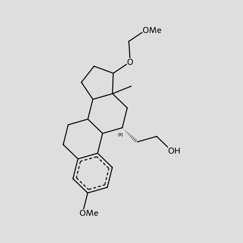 COCOC1CCC2C3CCc4cc(OC)ccc4C3[C@@H](CCO)CC12C